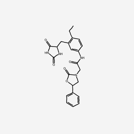 CCc1ccc(NC(=O)CN2CC(c3ccccc3)OC2=O)cc1CC1NC(=O)NC1=O